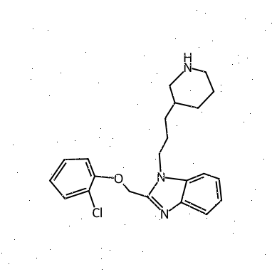 Clc1ccccc1OCc1nc2ccccc2n1CCCC1CCCNC1